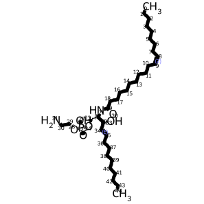 CCCCCCCC/C=C\CCCCCCCCCC(=O)N[C@@H](COP(=O)(O)OCCN)[C@H](O)/C=C/CCCCCCCCC